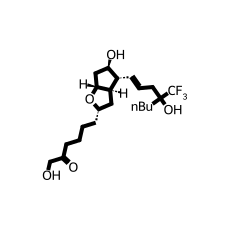 CCCCC(O)(CC=C[C@@H]1[C@H]2C[C@H](CCCCC(=O)CO)O[C@@H]2C[C@H]1O)C(F)(F)F